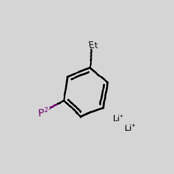 CCc1cccc([P-2])c1.[Li+].[Li+]